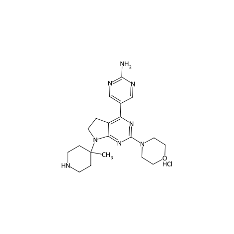 CC1(N2CCc3c(-c4cnc(N)nc4)nc(N4CCOCC4)nc32)CCNCC1.Cl